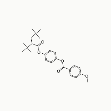 COc1ccc(C(=O)Oc2ccc(OC(=O)C(CC(C)(C)C)C(C)(C)C)cc2)cc1